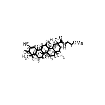 COCCNC(=O)C1(C)CCC2(C)CCC3(C)C4(C)CCC5C(C)(C)C(=O)C(C#N)=CC5(C)C4=CC(=O)C3(O)C2C1